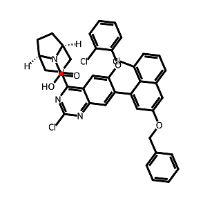 O=C(O)N1[C@@H]2CC[C@H]1CN(c1nc(Cl)nc3cc(-c4cc(OCc5ccccc5)cc5cccc(Cl)c45)c(Oc4ccccc4Cl)cc13)C2